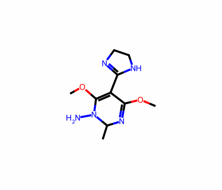 COC1=NC(C)N(N)C(OC)=C1C1=NCCN1